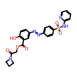 O=C(OCC(=O)N1CCC1)c1cc(N=Nc2ccc(S(=O)(=O)Nc3ccccn3)cc2)ccc1O